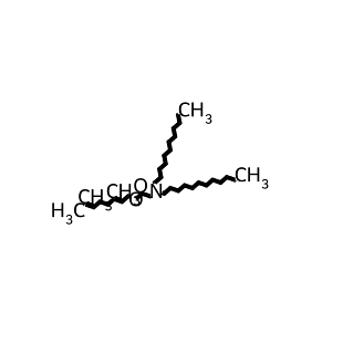 CCCCCCCCCCCCN(CCCCCCCCCCCC)CC(=O)OC/C=C(\C)CCC=C(C)C